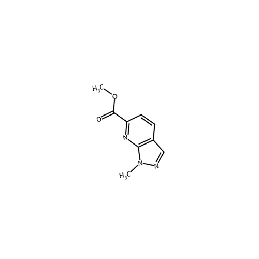 COC(=O)c1ccc2cnn(C)c2n1